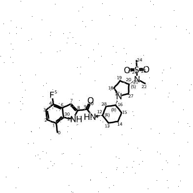 Cc1ccc(F)c2cc(C(=O)N[C@@H]3CCC[C@@H](N4CC[C@H](N(C)S(C)(=O)=O)C4)C3)[nH]c12